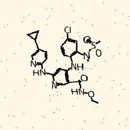 CCONC(=O)c1cnc(Nc2ccc(C3CC3)cn2)cc1Nc1ccc(Cl)cc1N(C)S(C)(=O)=O